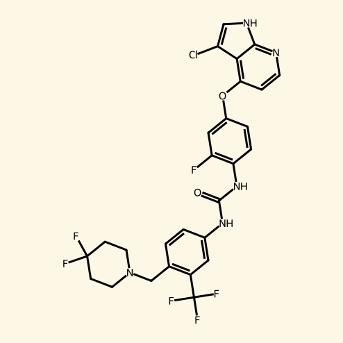 O=C(Nc1ccc(CN2CCC(F)(F)CC2)c(C(F)(F)F)c1)Nc1ccc(Oc2ccnc3[nH]cc(Cl)c23)cc1F